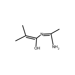 CC(C)=C(O)/N=C(/C)N